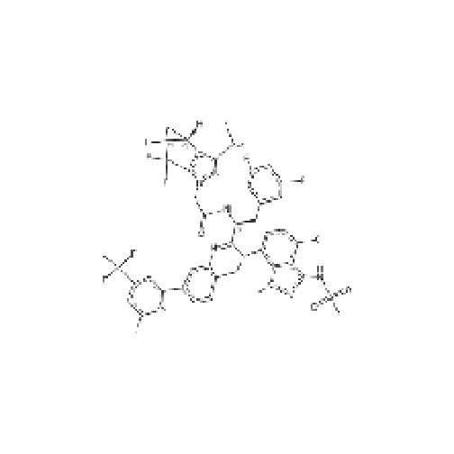 Cc1cc(C(F)(F)F)cc(-c2ccc3c(c2)N=C([C@H](Cc2cc(F)cc(F)c2)NC(=O)Cn2nc(C(F)F)c4c2C(F)(F)[C@@H]2C[C@H]42)N(c2ccc(Cl)c4c(NS(C)(=O)=O)nn(C)c24)C3)n1